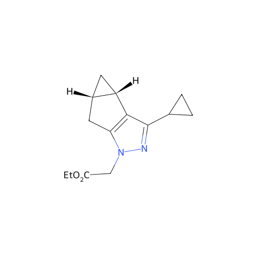 CCOC(=O)Cn1nc(C2CC2)c2c1C[C@@H]1C[C@H]21